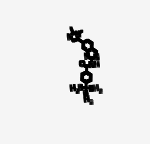 BC(B)(B)c1ccc(C(=O)Nc2ncc3ccc(-c4cnc(C)n4C)cc3n2)cc1